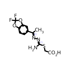 C/C(=N\N=C(/N)SCC(=O)O)c1ccc2c(c1)OC(F)(F)O2